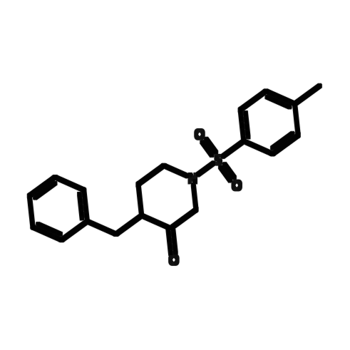 Cc1ccc(S(=O)(=O)N2CCC(Cc3ccccc3)C(=O)C2)cc1